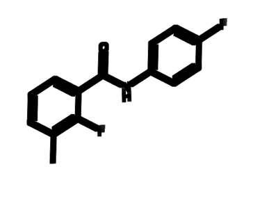 Cc1cccc(C(=O)Nc2ccc(F)cc2)c1F